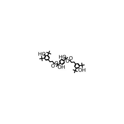 CC(C)(C)c1cc(CCC(=O)OC(C)(O)c2ccc(C(C)(O)OC(=O)CCc3cc(C(C)(C)C)c(O)c(C(C)(C)C)c3)cc2)cc(C(C)(C)C)c1O